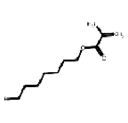 C=C(C)C(=O)OCCCCCCCF